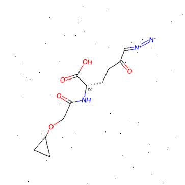 [N-]=[N+]=CC(=O)CC[C@H](NC(=O)COC1CC1)C(=O)O